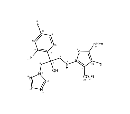 CCCCCCc1sc(NCC(O)(Cn2cncn2)c2ccc(F)cc2F)c(C(=O)OCC)c1C